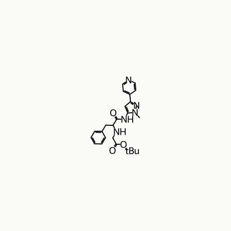 Cn1nc(-c2ccncc2)cc1NC(=O)C(Cc1ccccc1)NCC(=O)OC(C)(C)C